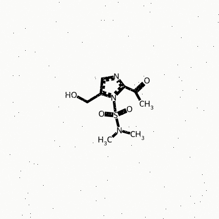 CC(=O)c1ncc(CO)n1S(=O)(=O)N(C)C